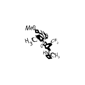 CO[C@H]1C[C@](c2cc(C)cc(N3Cc4c(cc(CNC5(C)CCC5)cc4C(F)(F)F)C3=O)c2)(c2nncn2C)C1